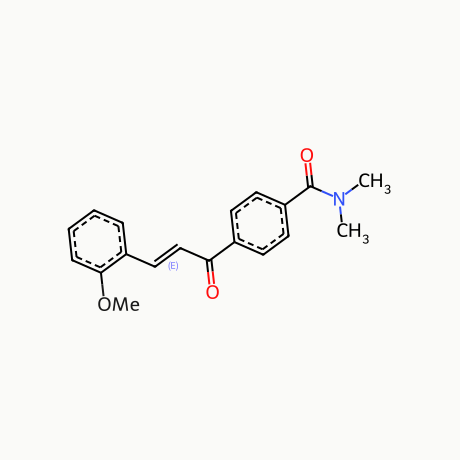 COc1ccccc1/C=C/C(=O)c1ccc(C(=O)N(C)C)cc1